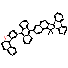 CC1(C)c2c(ccc3cc(-c4c5ccccc5c(-c5ccc6oc7ccc8ccccc8c7c6c5)c5ccccc45)ccc23)-c2c1c1ccccc1c1ccccc21